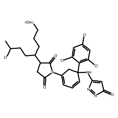 CCCCCCCCCCCCCC(CCC(C)Cl)C1CC(=O)N(C2=CC=CC(NC3=CC(=O)N=N3)(c3c(Cl)cc(Cl)cc3Cl)C2)C1=O